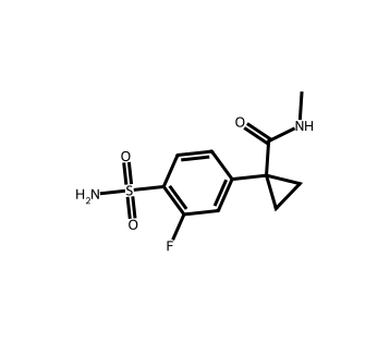 CNC(=O)C1(c2ccc(S(N)(=O)=O)c(F)c2)CC1